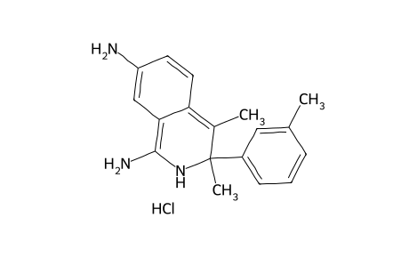 CC1=c2ccc(N)cc2=C(N)NC1(C)c1cccc(C)c1.Cl